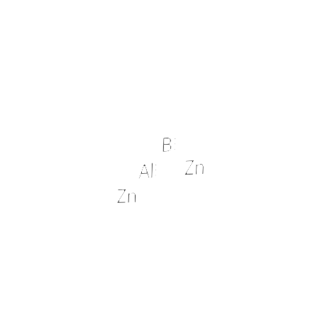 [Al].[B].[Zn].[Zn]